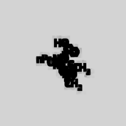 C=CC(=O)N1CCN(c2nc(OCCC)nc3c2CCN(c2cc(O)cc4ccccc24)C3)CC1C(=O)N(C)C